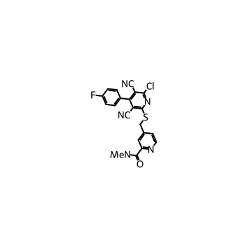 CNC(=O)c1cc(CSc2nc(Cl)c(C#N)c(-c3ccc(F)cc3)c2C#N)ccn1